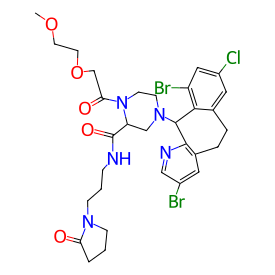 COCCOCC(=O)N1CCN(C2c3ncc(Br)cc3CCc3cc(Cl)cc(Br)c32)CC1C(=O)NCCCN1CCCC1=O